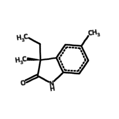 CC[C@@]1(C)C(=O)Nc2ccc(C)cc21